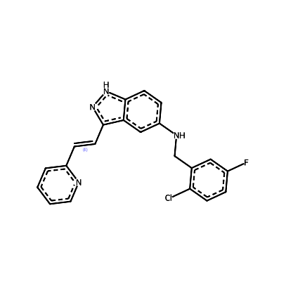 Fc1ccc(Cl)c(CNc2ccc3[nH]nc(/C=C/c4ccccn4)c3c2)c1